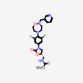 COC(=S)NC[C@H]1CN(c2cc(F)c(N3CCON(Cc4cccnc4)CC3)c(F)c2)C(=O)O1